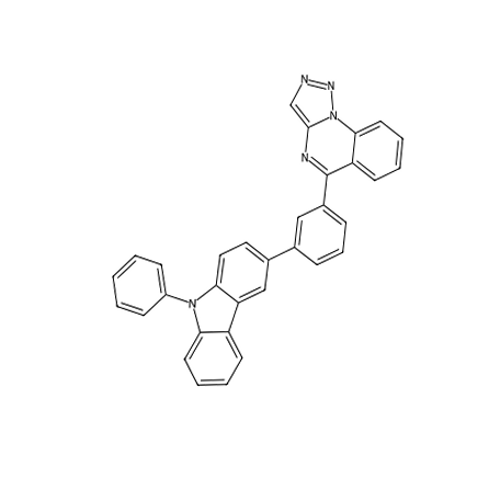 c1ccc(-n2c3ccccc3c3cc(-c4cccc(-c5nc6cnnn6c6ccccc56)c4)ccc32)cc1